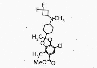 COC(=O)c1cc(Cl)c2c(c1C)OC(C)(C1CCC(N(C)C3CC(F)(F)C3)CC1)O2